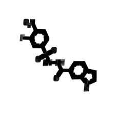 O=C(NNS(=O)(=O)c1ccc([N+](=O)[O-])c(F)c1)c1ccc2cc[nH]c2c1